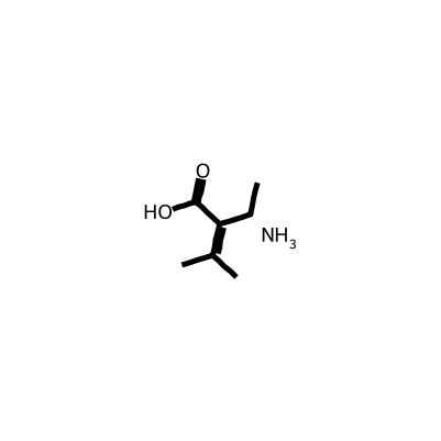 CCC(C(=O)O)=C(C)C.N